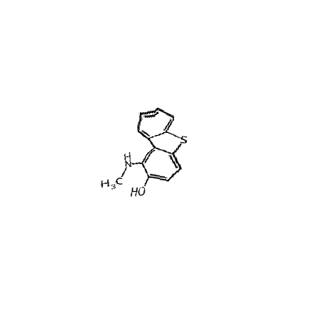 CNc1c(O)ccc2sc3ccccc3c12